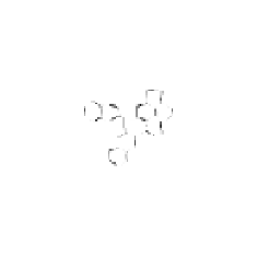 c1ccc2cc(B3c4cc5ccccc5cc4-c4ccc5ccc6cccc7cc3c4c5c67)ccc2c1